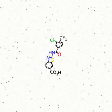 O=C(O)c1ccc2nc(NC(=O)c3ccc(C(F)(F)F)c(Cl)c3)sc2c1